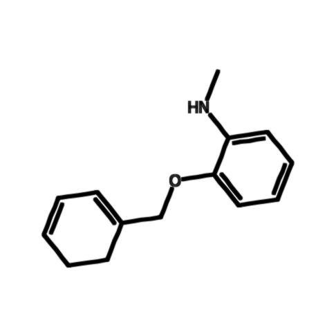 CNc1ccccc1OCC1=CC=CCC1